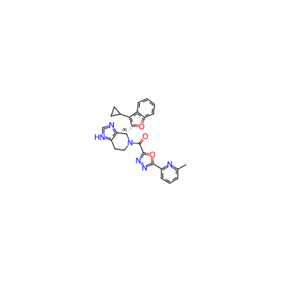 Cc1cccc(-c2nnc(C(=O)N3CCc4[nH]cnc4[C@@H]3c3oc4ccccc4c3C3CC3)o2)n1